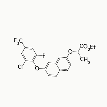 CCOC(=O)C(C)Oc1ccc2ccc(Oc3c(F)cc(C(F)(F)F)cc3Cl)cc2c1